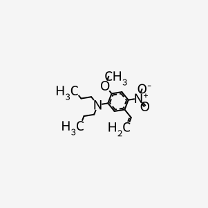 C=Cc1cc(N(CCC)CCC)c(OC)cc1[N+](=O)[O-]